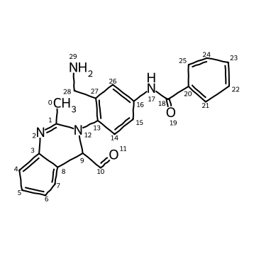 CC1=Nc2ccccc2C(C=O)N1c1ccc(NC(=O)c2ccccc2)cc1CN